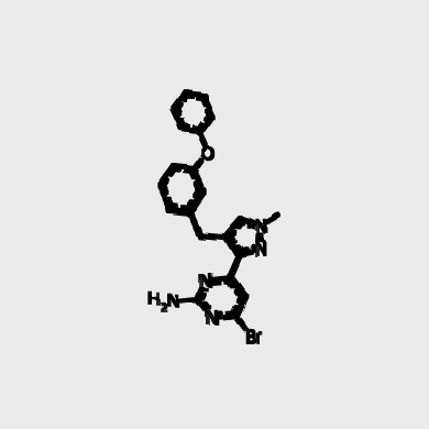 Cn1cc(Cc2cccc(Oc3ccccc3)c2)c(-c2cc(Br)nc(N)n2)n1